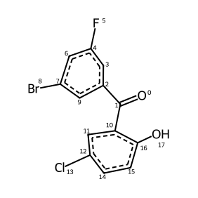 O=C(c1cc(F)cc(Br)c1)c1cc(Cl)ccc1O